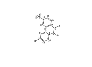 Cc1ccc(C(C)C(C)c2ccc(C(C)C)cc2)cc1